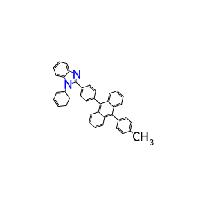 Cc1ccc(-c2c3ccccc3c(-c3ccc(-c4nc5ccccc5n4C4=CC=CCC4)cc3)c3ccccc23)cc1